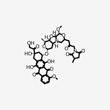 COc1cccc2c1C(=O)c1c(O)c3c(c(O)c1C2=O)C[C@@](O)(C(=O)CO)C[C@@H]3O[C@H]1C[C@H]2[C@H](O[C@@H]3[C@@H](OC)OC(CC(=O)CN4C(=O)CC(C)C4=O)CN32)[C@H](C)O1